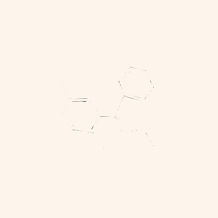 CC(C)O/N=C(\c1ccccc1)c1cc(Cl)ccc1C(F)(F)F